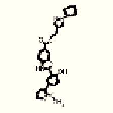 COc1ncccc1-c1ccc(O)c(-c2nc3cc(C(=O)NCCc4cnn(-c5ccccc5)c4)ccc3[nH]2)c1